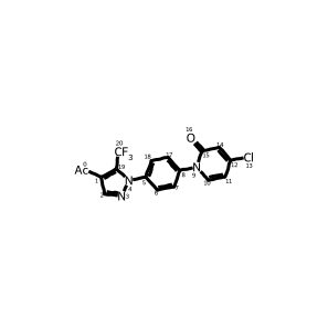 CC(=O)c1cnn(-c2ccc(-n3ccc(Cl)cc3=O)cc2)c1C(F)(F)F